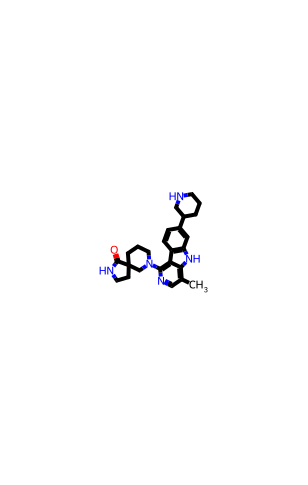 Cc1cnc(N2CCCC3(CCNC3=O)C2)c2c1[nH]c1cc(C3CCCNC3)ccc12